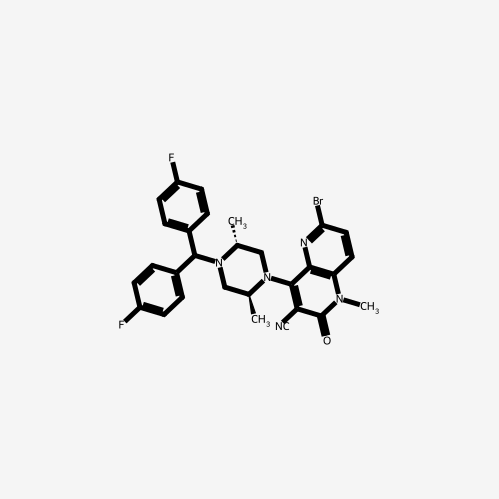 C[C@@H]1CN(c2c(C#N)c(=O)n(C)c3ccc(Br)nc23)[C@@H](C)CN1C(c1ccc(F)cc1)c1ccc(F)cc1